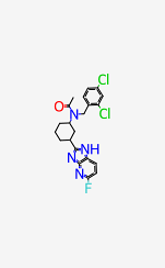 CC(=O)N(Cc1ccc(Cl)cc1Cl)C1CCCC(c2nc3nc(F)ccc3[nH]2)C1